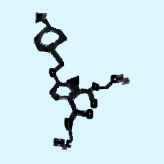 CCOC(=O)c1ccc(OCc2ccc(F)cc2)nc1C(=O)OCC